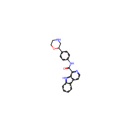 O=C(Nc1ccc(C2CNCCO2)cc1)c1nccc2c1[nH]c1ccccc12